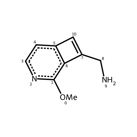 COc1nccc2c1C(CN)=C2